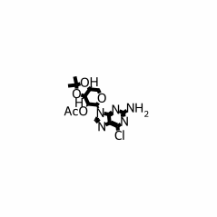 CC(=O)O[C@@H]1[C@H]2OC(C)(C)O[C@H]2CO[C@H]1n1cnc2c(Cl)nc(N)nc21